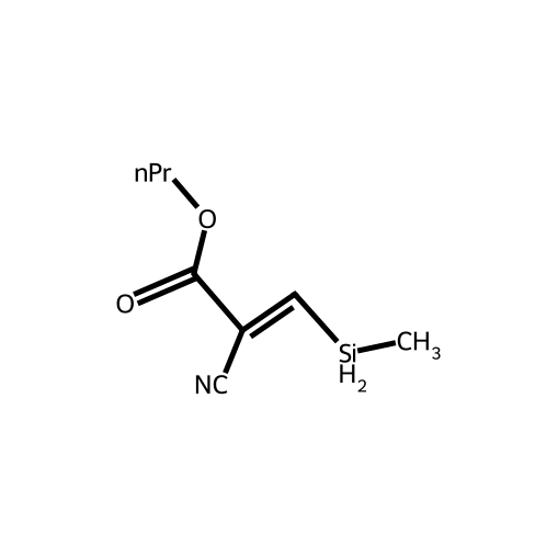 CCCOC(=O)C(C#N)=C[SiH2]C